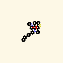 c1ccc(N(c2ccc(-c3ccc(-c4ccc5ccccc5c4)cc3)cc2)c2ccc(-c3ccccc3-n3c4ccccc4c4ccccc43)cc2)c(-c2ccc3c(c2)sc2ccccc23)c1